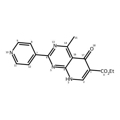 CCOC(=O)c1c[nH]c2nc(-c3ccncc3)nc(C)c2c1=O